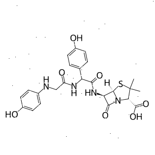 CC1(C)S[C@@H]2[C@H](NC(=O)C(NC(=O)CNc3ccc(O)cc3)c3ccc(O)cc3)C(=O)N2[C@H]1C(=O)O